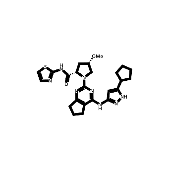 CO[C@H]1C[C@@H](C(=O)Nc2nccs2)N(c2nc3c(c(Nc4cc(C5CCCC5)[nH]n4)n2)CCC3)C1